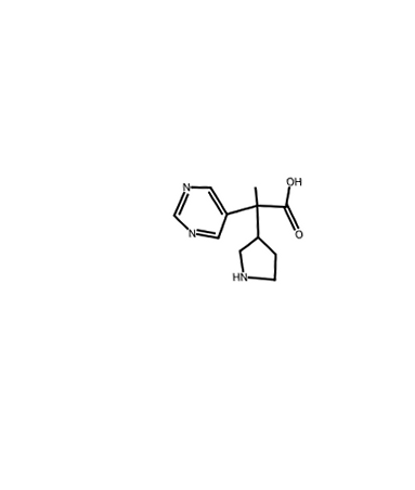 CC(C(=O)O)(c1cncnc1)C1CCNC1